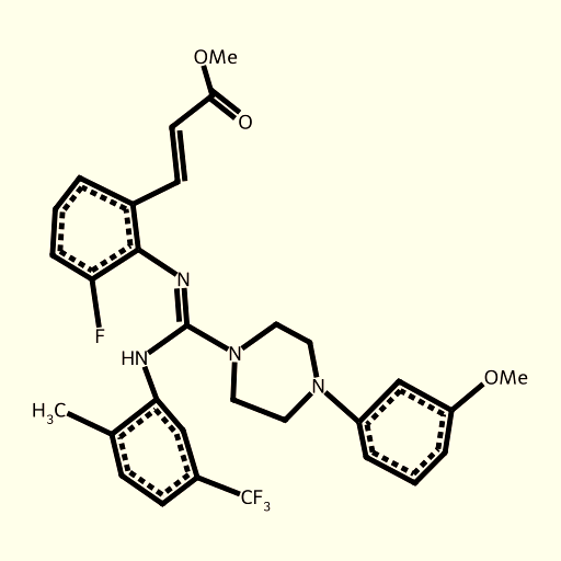 COC(=O)/C=C/c1cccc(F)c1N=C(Nc1cc(C(F)(F)F)ccc1C)N1CCN(c2cccc(OC)c2)CC1